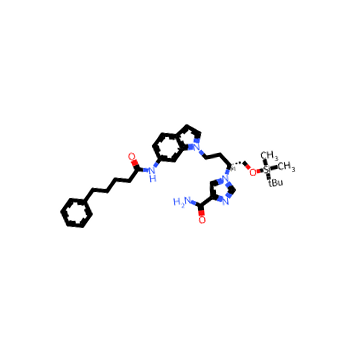 CC(C)(C)[Si](C)(C)OC[C@@H](CCn1ccc2ccc(NC(=O)CCCCc3ccccc3)cc21)n1cnc(C(N)=O)c1